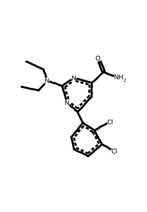 CCN(CC)c1nc(C(N)=O)cc(-c2cccc(Cl)c2Cl)n1